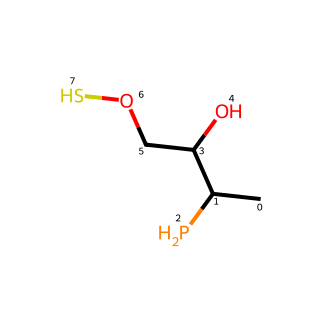 CC(P)C(O)COS